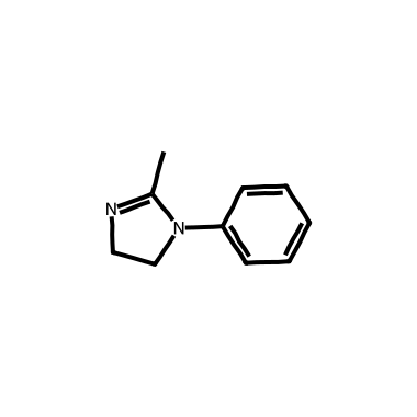 CC1=NCCN1c1ccccc1